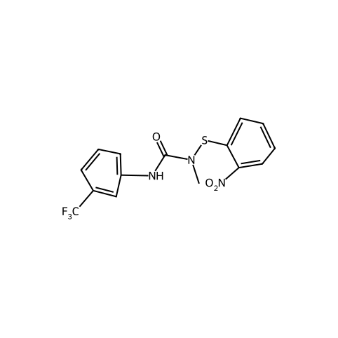 CN(Sc1ccccc1[N+](=O)[O-])C(=O)Nc1cccc(C(F)(F)F)c1